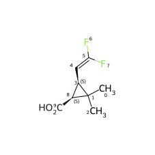 CC1(C)[C@H](C=C(F)F)[C@@H]1C(=O)O